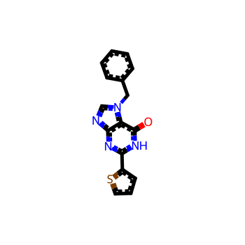 O=c1[nH]c(-c2cccs2)nc2ncn(Cc3ccccc3)c12